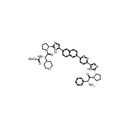 COC(=O)N[C@H](C(=O)N1CCC[C@H]1c1ncc(-c2ccc3cc(-c4ccc(-c5cnc([C@@H]6CCCN6C(=O)[C@H](N)c6ccccc6)[nH]5)nn4)ccc3c2)[nH]1)C1CCOCC1